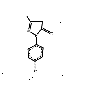 CCc1ccc(N2N=C(C)CC2=O)cc1